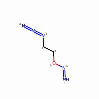 [N-]=[N+]=NCCON=N